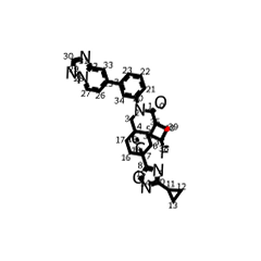 O=C(N(CC12CCC(c3nc(C4CC4)no3)(CC1)CC2)c1cccc(-c2ccn3ncnc3c2)c1)C12CC(F)(C1)C2